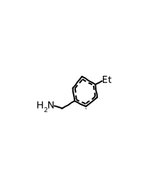 CCc1c[c]c(CN)cc1